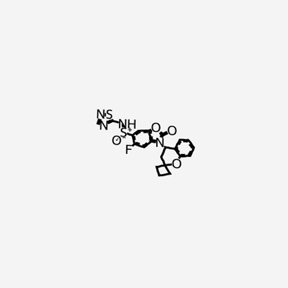 O=c1oc2cc([S@+]([O-])Nc3ncns3)c(F)cc2n1[C@H]1CC2(CCC2)Oc2ccccc21